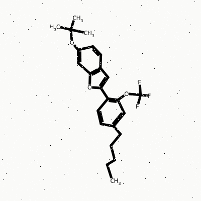 CCCCCc1ccc(-c2cc3ccc(OC(C)(C)C)cc3o2)c(OC(F)(F)F)c1